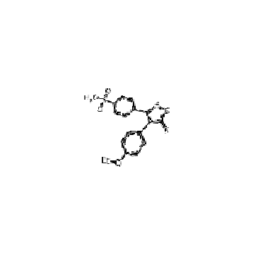 CCOc1ccc(-c2c(-c3ccc(S(C)(=O)=O)cc3)ssc2=S)cc1